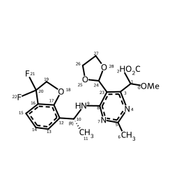 COC(C(=O)O)c1nc(C)nc(N[C@H](C)c2cccc3c2OCC3(F)F)c1C1OCCO1